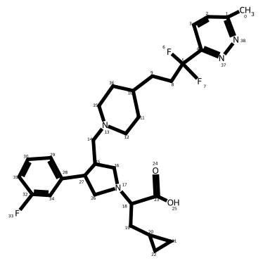 Cc1ccc(C(F)(F)CCC2CCN(CC3CN(C(CC4CC4)C(=O)O)CC3c3cccc(F)c3)CC2)nn1